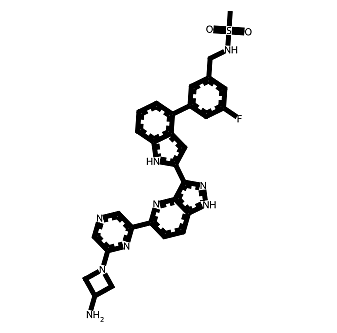 CS(=O)(=O)NCc1cc(F)cc(-c2cccc3[nH]c(-c4n[nH]c5ccc(-c6cncc(N7CC(N)C7)n6)nc45)cc23)c1